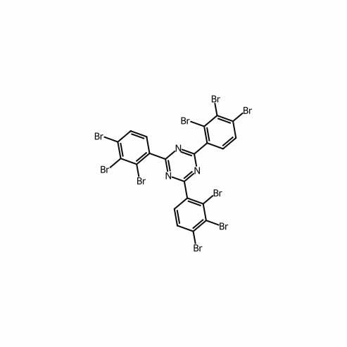 Brc1ccc(-c2nc(-c3ccc(Br)c(Br)c3Br)nc(-c3ccc(Br)c(Br)c3Br)n2)c(Br)c1Br